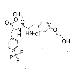 COC(=O)C(Cc1ccc(C(F)(F)F)cc1)NC(=O)C(Cc1ccc(OCCO)cc1)NCl